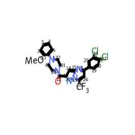 COc1ccccc1N1CCN(C(=O)c2cc3nc(-c4ccc(Cl)c(Cl)c4)cc(C(F)(F)F)n3n2)CC1